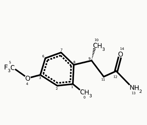 Cc1cc(OC(F)(F)F)ccc1[C@H](C)CC(N)=O